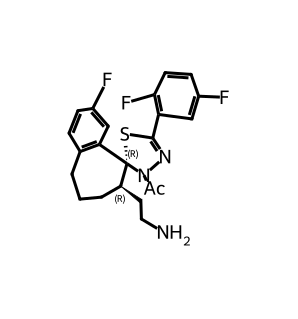 CC(=O)N1N=C(c2cc(F)ccc2F)S[C@]12c1cc(F)ccc1CCC[C@@H]2CCN